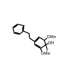 COC1=CC(CCc2ccccc2)=CC(OC)C1(O)F